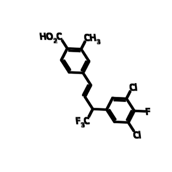 Cc1cc(/C=C/C(c2cc(Cl)c(F)c(Cl)c2)C(F)(F)F)ccc1C(=O)O